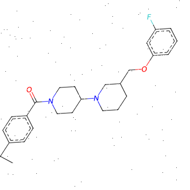 CC(C)(O)c1ccc(C(=O)N2CCC(N3CCCC(COc4cccc(F)c4)C3)CC2)cc1